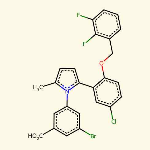 Cc1ccc(-c2cc(Cl)ccc2OCc2cccc(F)c2F)n1-c1cc(Br)cc(C(=O)O)c1